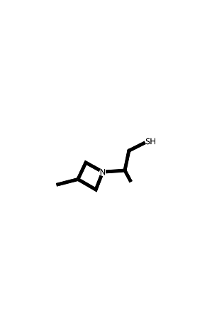 CC1CN(C(C)CS)C1